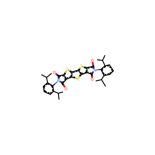 CC(C)c1cccc(C(C)C)c1-n1c(=O)c2sc3c4sc5c(=O)n(-c6c(C(C)C)cccc6C(C)C)c(=O)c5c4sc3c2c1=O